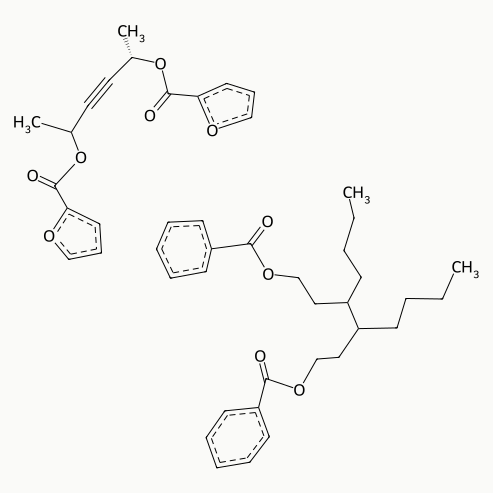 CC(C#C[C@H](C)OC(=O)c1ccco1)OC(=O)c1ccco1.CCCCC(CCOC(=O)c1ccccc1)C(CCCC)CCOC(=O)c1ccccc1